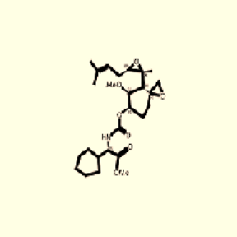 COC(=O)[C@H](NC(=O)O[C@@H]1CC[C@]2(CO2)[C@@H]([C@@]2(C)O[C@@H]2CC=C(C)C)[C@@H]1OC)C1CCCCC1